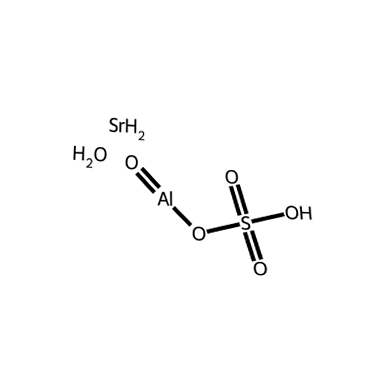 O.[O]=[Al][O]S(=O)(=O)O.[SrH2]